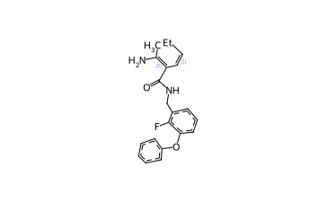 CC/C=C\C(C(=O)NCc1cccc(Oc2ccccc2)c1F)=C(/C)N